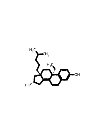 CC[C@@]12CC[C@@]3(CCCC(C)C)C[C@@H](O)CC3=C1CCc1cc(O)ccc12